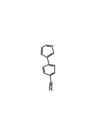 N#Cc1ccc(-c2c[c]ccc2)cc1